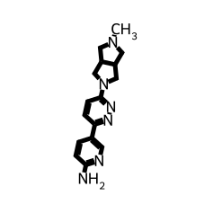 CN1CC2CN(c3ccc(-c4ccc(N)nc4)nn3)CC2C1